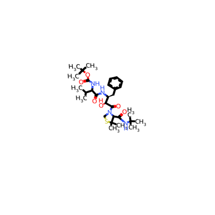 CC(C)C(NC(=O)OC(C)(C)C)C(=O)N[C@@H](Cc1ccccc1)[C@H](O)C(=O)N1CSC(C)(C)C1C(=O)NC(C)(C)C